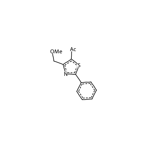 COCc1nc(-c2ccccc2)sc1C(C)=O